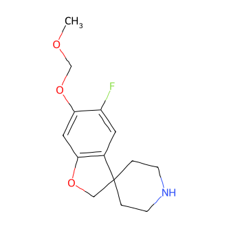 COCOc1cc2c(cc1F)C1(CCNCC1)CO2